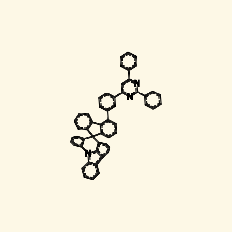 c1ccc(-c2cc(-c3cccc(-c4cccc5c4-c4ccccc4C54c5ccccc5-n5c6ccccc6c6cccc4c65)c3)nc(-c3ccccc3)n2)cc1